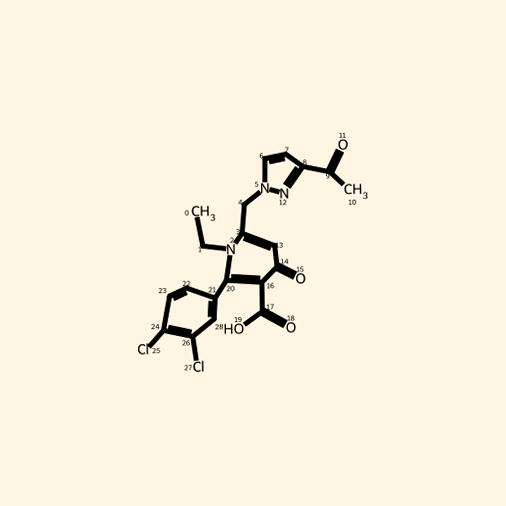 CCn1c(Cn2ccc(C(C)=O)n2)cc(=O)c(C(=O)O)c1-c1ccc(Cl)c(Cl)c1